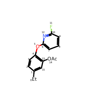 CCc1ccc(Oc2cccc(F)n2)c(OC(C)=O)c1